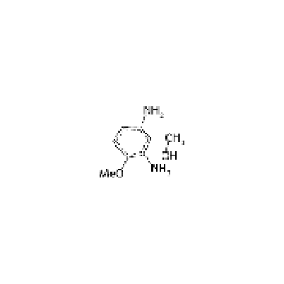 CO.COc1ccc(N)cc1N